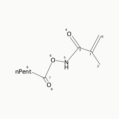 C=C(C)C(=O)NOC(=O)CCCCC